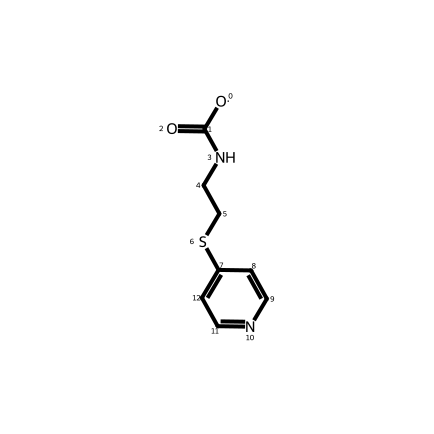 [O]C(=O)NCCSc1ccncc1